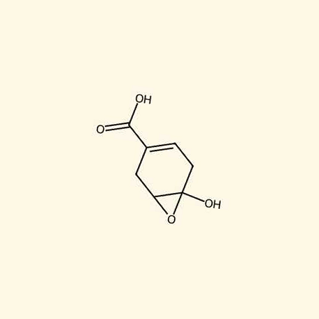 O=C(O)C1=CCC2(O)OC2C1